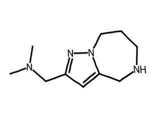 CN(C)Cc1cc2n(n1)CCCNC2